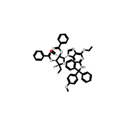 C#C[C@]1(OC(=O)c2ccccc2)[C@H](n2cnc3c(OCC)nc(NC(c4ccccc4)(c4ccccc4)c4ccc(OC)cc4)nc32)O[C@](F)(CI)[C@H]1OC(=O)c1ccccc1